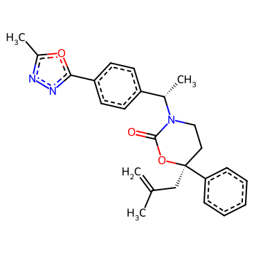 C=C(C)C[C@@]1(c2ccccc2)CCN([C@@H](C)c2ccc(-c3nnc(C)o3)cc2)C(=O)O1